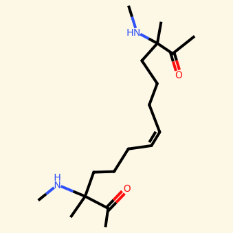 CNC(C)(CCC/C=C\CCCC(C)(NC)C(C)=O)C(C)=O